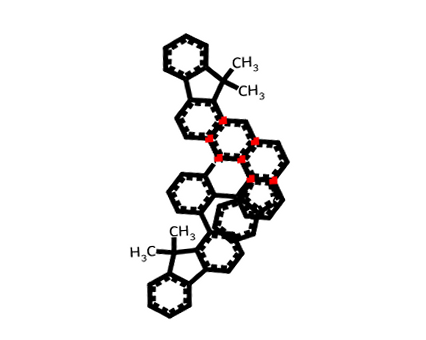 CC1(C)c2ccccc2-c2ccc(N(c3cccc(-c4cccc5c4C(C)(C)c4ccccc4-5)c3-c3ccccc3-c3ccccc3)c3cccc4oc5ccccc5c34)cc21